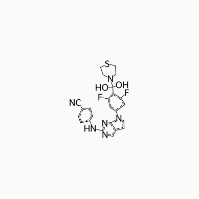 N#Cc1ccc(Nc2ncc3ccn(-c4cc(F)c(C(O)(O)N5CCSCC5)c(F)c4)c3n2)cc1